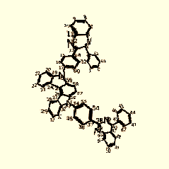 c1ccc(-c2nc3ccccc3nc2-c2ccc(-n3c4ccccc4c4c5c6ccccc6n(-c6ccc(-c7nc(-c8ccccc8)c8ccccc8n7)cc6)c5ccc43)cc2)cc1